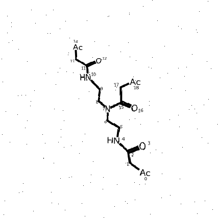 CC(=O)CC(=O)NCCN(CCNC(=O)CC(C)=O)C(=O)CC(C)=O